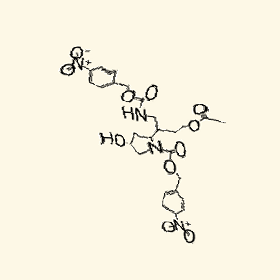 CC(=O)OCCC(CNC(=O)OCc1ccc([N+](=O)[O-])cc1)[C@@H]1C[C@@H](O)CN1C(=O)OCc1ccc([N+](=O)[O-])cc1